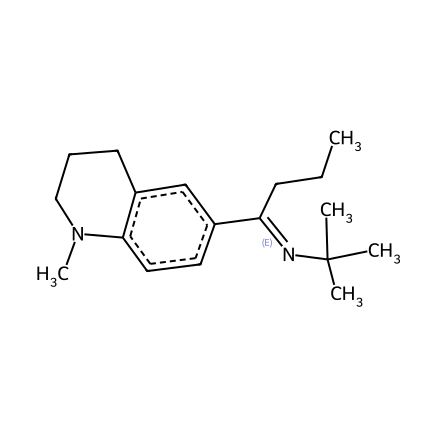 CCC/C(=N\C(C)(C)C)c1ccc2c(c1)CCCN2C